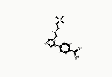 C[Si](C)(C)CCOCn1cncc1-c1ccc(C(=O)O)cc1